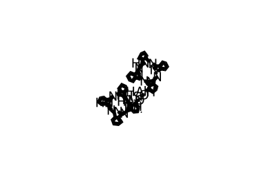 c1ccc2c(c1)-c1nc-2nc2[nH]c(nc3nc(nc4[nH]c(n1)c1ccccc41)-c1ccccc1-3)c1[c]([AlH][O][SiH][O][AlH][c]3cccc4c5nc6nc(nc7[nH]c(nc8nc(nc([nH]5)c34)-c3ccccc3-8)c3ccccc73)-c3ccccc3-6)cccc21